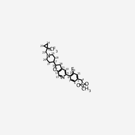 CS(=O)(=O)Cc1ccc(-c2cc3c(cn2)OC(C2CCN(CC4(C(F)(F)F)CC4)CC2)C3)c(F)c1